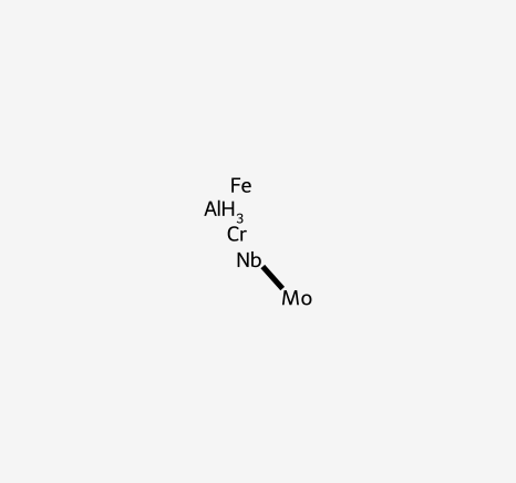 [AlH3].[Cr].[Fe].[Nb][Mo]